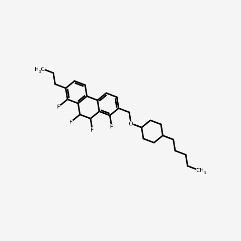 CCCCCC1CCC(OCc2ccc3c(c2F)C(F)C(F)c2c-3ccc(CCC)c2F)CC1